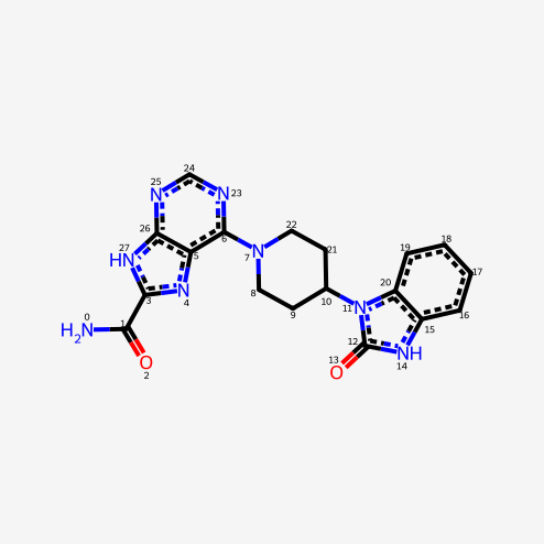 NC(=O)c1nc2c(N3CCC(n4c(=O)[nH]c5ccccc54)CC3)ncnc2[nH]1